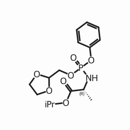 CC(C)OC(=O)[C@@H](C)NP(=O)(OCC1OCCO1)Oc1ccccc1